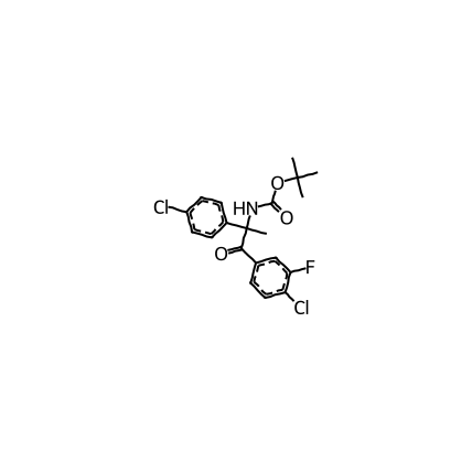 CC(C)(C)OC(=O)NC(C)(C(=O)c1ccc(Cl)c(F)c1)c1ccc(Cl)cc1